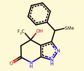 CSC(c1ccccc1)c1n[nH]c2c1C(O)(C(F)(F)F)CC(=O)N2